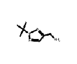 CC(C)(C)n1ncc(CN)n1